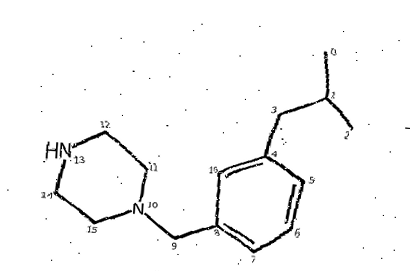 CC(C)Cc1cccc(CN2CCNCC2)c1